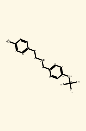 Oc1ccc(CCNCc2ccc(OC(F)(F)F)cc2)cc1